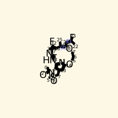 CC(=O)N=S(C)(=O)Cc1cc2nc(c1)OCCCOC(/C=C(\C)F)=C(/C)c1cc(ncc1F)N2